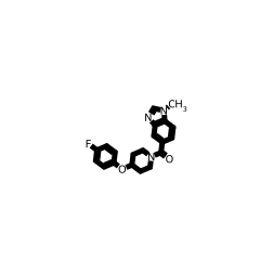 Cn1cnc2cc(C(=O)N3CCC(Oc4ccc(F)cc4)CC3)ccc21